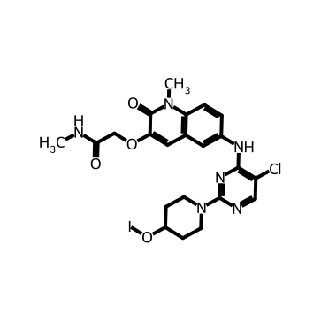 CNC(=O)COc1cc2cc(Nc3nc(N4CCC(OI)CC4)ncc3Cl)ccc2n(C)c1=O